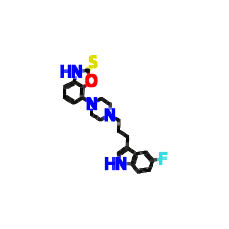 Fc1ccc2[nH]cc(CCCN3CCN(c4cccc5[nH]c(=S)oc45)CC3)c2c1